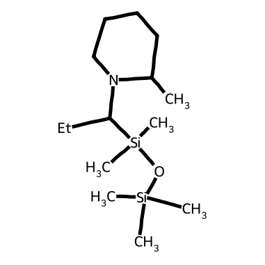 CCC(N1CCCCC1C)[Si](C)(C)O[Si](C)(C)C